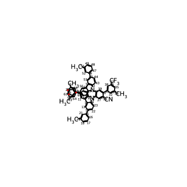 Cc1cccc(-c2ccc3c(c2)c2cc(-c4cccc(C)c4)ccc2n3-c2cc(C#N)c(-c3cc(C)cc(C(F)(F)F)c3)cc2-n2c3ccc(-c4cccc(C)c4)cc3c3cc(-c4cccc(C)c4)ccc32)c1